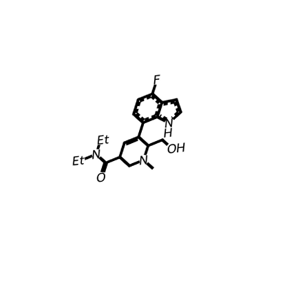 CCN(CC)C(=O)C1C=C(c2ccc(F)c3cc[nH]c23)C(CO)N(C)C1